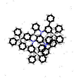 c1ccc(-c2cc(N3c4ccccc4B4c5ccc([Si](c6ccccc6)(c6ccccc6)c6ccccc6)cc5N(c5cccc([Si](c6ccccc6)(c6ccccc6)c6ccccc6)c5)c5cc(-n6c7ccccc7c7ccccc76)cc3c54)cc([Si](c3ccccc3)(c3ccccc3)c3ccccc3)c2)cc1